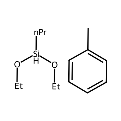 CCC[SiH](OCC)OCC.Cc1ccccc1